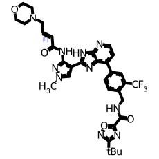 Cn1cc(-c2nc3c(-c4ccc(CNC(=O)c5nc(C(C)(C)C)no5)c(C(F)(F)F)c4)ccnc3[nH]2)c(NC(=O)/C=C/CN2CCOCC2)n1